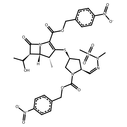 CC(O)[C@H]1C(=O)N2C(C(=O)OCc3ccc([N+](=O)[O-])cc3)=C(S[C@H]3C[C@@H](/C=N\N(C)S(C)(=O)=O)N(C(=O)OCc4ccc([N+](=O)[O-])cc4)C3)[C@H](C)[C@H]12